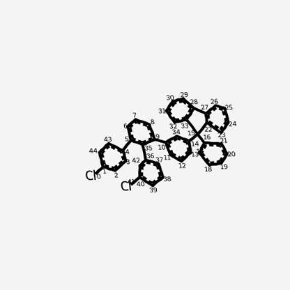 Clc1ccc(-c2cccc(-c3cccc(C4(c5ccccc5)c5ccccc5-c5ccccc54)c3)c2-c2cccc(Cl)c2)cc1